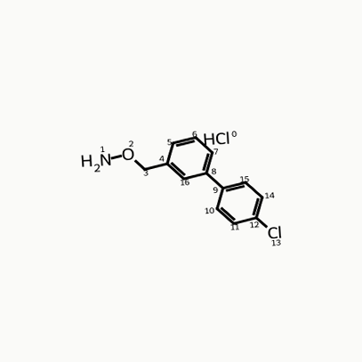 Cl.NOCc1cccc(-c2ccc(Cl)cc2)c1